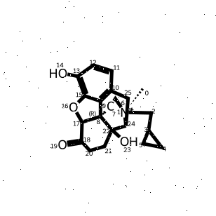 C[N@@+]1(CC2CC2)CC[C@@]23c4c5ccc(O)c4OC2C(=O)CCC3(O)C1C5